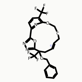 FC(F)(F)c1ccc2nc1OCCC/C=C/CC(OCc1ccccc1)(C(F)(F)F)c1nnc-2o1